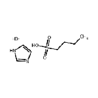 Br.CCCCS(=O)(=O)O.c1c[nH]cn1